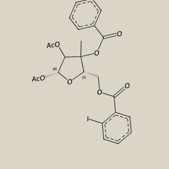 CC(=O)OC1[C@@H](OC(C)=O)O[C@@H](COC(=O)c2ccccc2I)C1(C)OC(=O)c1ccccc1